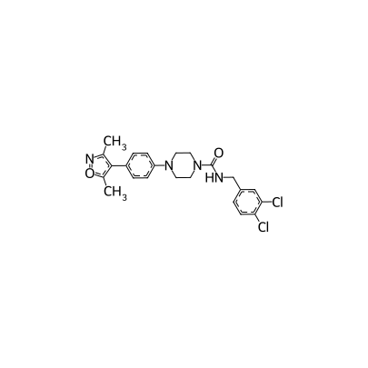 Cc1noc(C)c1-c1ccc(N2CCN(C(=O)NCc3ccc(Cl)c(Cl)c3)CC2)cc1